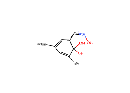 CCCCCCCCCC1=CC(/C=N\O)C(O)(O)C(CCC)=C1